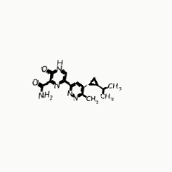 Cc1nnc(-c2c[nH]c(=O)c(C(N)=O)n2)cc1[C@@H]1C[C@H]1C(C)C